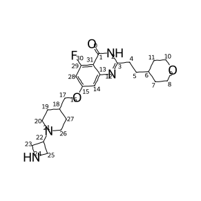 O=c1[nH]c(CCC2CCOCC2)nc2cc(OCC3CCN(C4CNC4)CC3)cc(F)c12